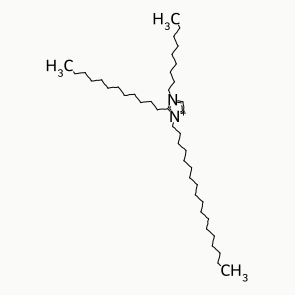 CCCCCCCCCCCCCCCCCC[n+]1ccn(CCCCCCCCC)c1CCCCCCCCCCCC